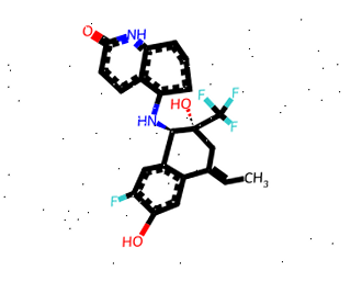 C/C=C1\C[C@](O)(C(F)(F)F)[C@H](Nc2cccc3[nH]c(=O)ccc23)c2cc(F)c(O)cc21